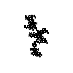 CC(C)(C)OC(=O)/N=C(/NCCCCCCCCN(C(=O)OC(C)(C)C)/C(=N\C(=O)OC(C)(C)C)N(CCCCOc1ccc(C(=N)NC(=O)OC(C)(C)C)cn1)C(=O)OC(C)(C)C)NC(=O)OC(C)(C)C